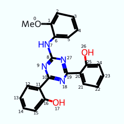 COc1ccccc1Nc1nc(-c2ccccc2O)nc(-c2ccccc2O)n1